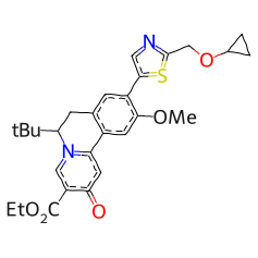 CCOC(=O)c1cn2c(cc1=O)-c1cc(OC)c(-c3cnc(COC4CC4)s3)cc1CC2C(C)(C)C